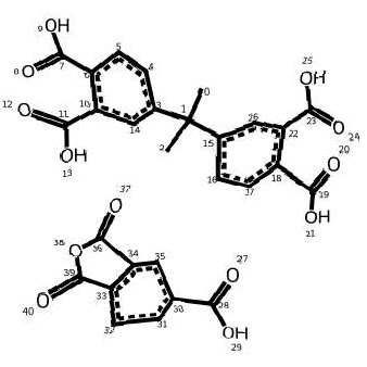 CC(C)(c1ccc(C(=O)O)c(C(=O)O)c1)c1ccc(C(=O)O)c(C(=O)O)c1.O=C(O)c1ccc2c(c1)C(=O)OC2=O